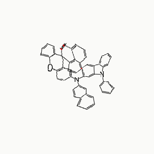 c1ccc(-n2c3ccccc3c3ccc(N(c4ccc5c(c4)C4(c6ccccc6O5)c5ccccc5-c5cccc6cccc4c56)c4ccc5ccccc5c4)cc32)cc1